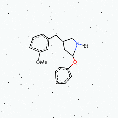 CCN1CC(Cc2cccc(OC)c2)CC1Oc1ccccc1